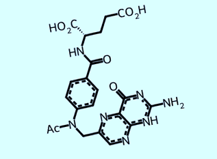 CC(=O)N(Cc1cnc2[nH]c(N)nc(=O)c2n1)c1ccc(C(=O)N[C@@H](CCC(=O)O)C(=O)O)cc1